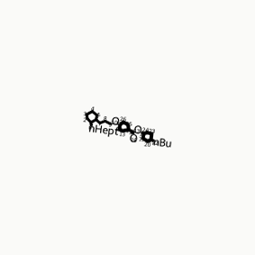 CCCCCCCC1CCCCC1CCCOc1ccc(C(=O)Oc2ccc(CCCC)cc2)cc1